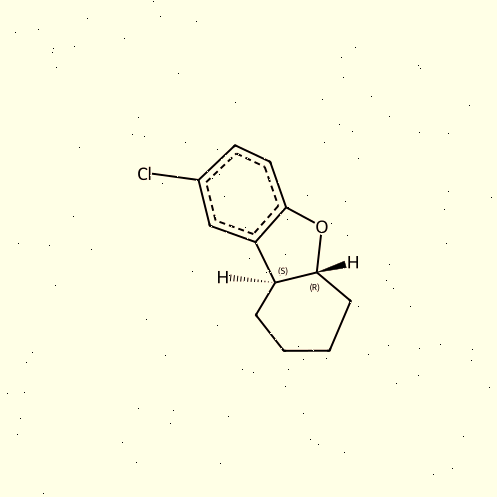 Clc1ccc2c(c1)[C@@H]1CCCC[C@H]1O2